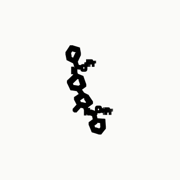 Cc1cc(-c2ccc(/N=C(\OC(C)C)c3ccccc3)cc2)ccc1/N=C(\OC(C)C)c1ccccc1